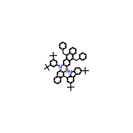 CC(C)(C)c1cc(N2c3cc4c(Cc5ccccc5)c5ccccc5c(Cc5ccccc5)c4cc3B3c4c2cc2ccccc2c4-c2cc(C(C)(C)C)cc4c5cc(C(C)(C)C)ccc5n3c24)cc(C(C)(C)C)c1